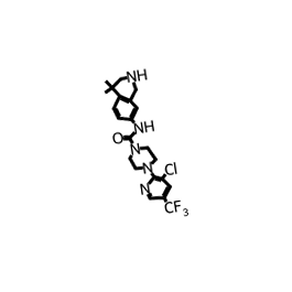 CC1(C)CNCc2cc(NC(=O)N3CCN(c4ncc(C(F)(F)F)cc4Cl)CC3)ccc21